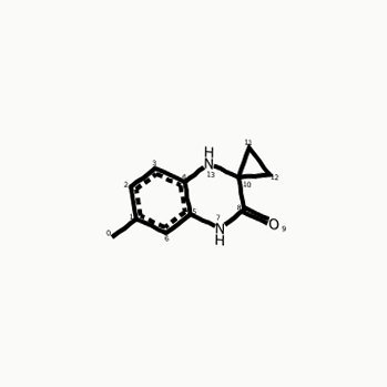 Cc1ccc2c(c1)NC(=O)C1(CC1)N2